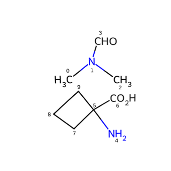 CN(C)C=O.NC1(C(=O)O)CCC1